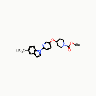 CCOC(=O)c1ccc2c(ccn2-c2ccc(OC3CCN(C(=O)OC(C)(C)C)CC3)cn2)c1